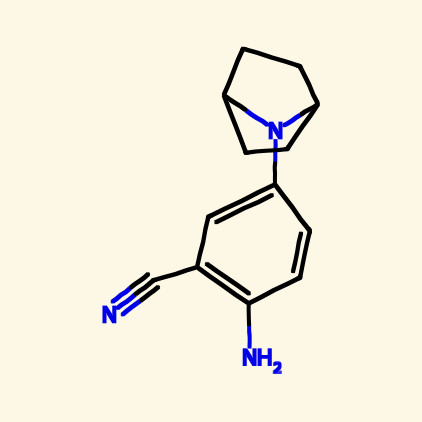 N#Cc1cc(N2C3CCC2CC3)ccc1N